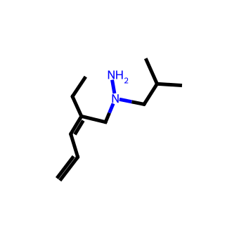 C=C/C=C(/CC)CN(N)CC(C)C